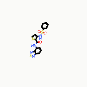 O=C(Nc1cccc2nsnc12)c1sccc1NS(=O)(=O)c1ccccc1